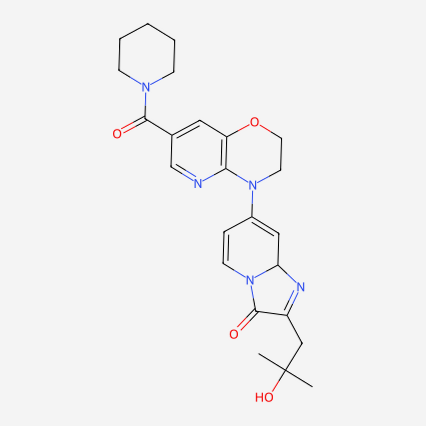 CC(C)(O)CC1=NC2C=C(N3CCOc4cc(C(=O)N5CCCCC5)cnc43)C=CN2C1=O